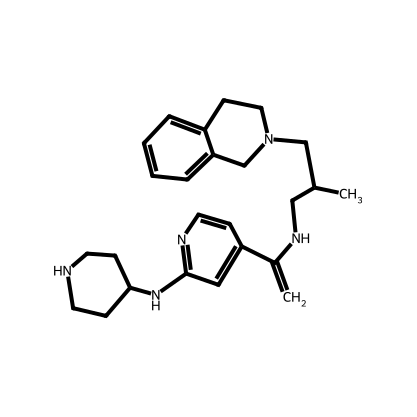 C=C(NCC(C)CN1CCc2ccccc2C1)c1ccnc(NC2CCNCC2)c1